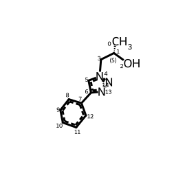 C[C@H](O)Cn1cc(-c2ccccc2)nn1